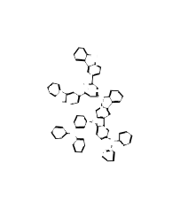 c1ccc(B(c2ccccc2)c2cccc(-n3c4ccc(B(c5ccccc5)c5ccccc5)cc4c4cc5c6ccccc6n(-c6cc(-c7ccc8oc9ccccc9c8c7)nc(-c7ccc8oc9ccccc9c8c7)c6)c5cc43)c2)cc1